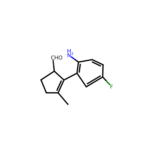 CC1=C(c2cc(F)ccc2N)C(C=O)CC1